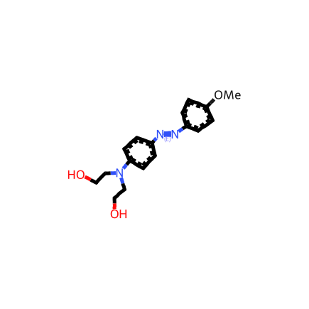 COc1ccc(/N=N/c2ccc(N(CCO)CCO)cc2)cc1